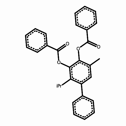 Cc1cc(-c2ccccc2)c(C(C)C)c(OC(=O)c2ccccc2)c1OC(=O)c1ccccc1